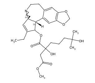 CCC1=C[C@]23CCCN2CCc2cc4c(cc2[C@@H]3C1OC(=O)C(O)(CCCC(C)(C)O)CC(=O)OC)OCO4